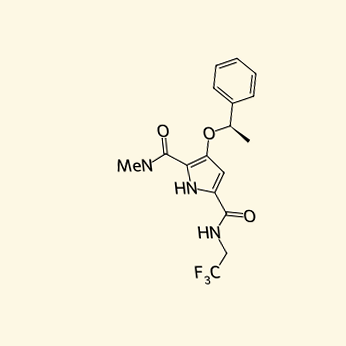 CNC(=O)c1[nH]c(C(=O)NCC(F)(F)F)cc1O[C@H](C)c1ccccc1